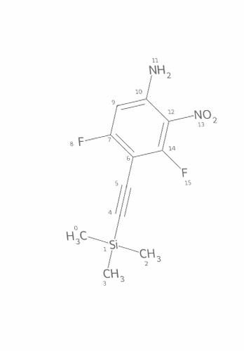 C[Si](C)(C)C#Cc1c(F)cc(N)c([N+](=O)[O-])c1F